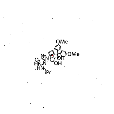 COc1ccc(C(c2ccccc2)(c2ccc(OC)cc2)C(O)[C@H]2O[C@@H](n3cnc4c(=O)[nH]c(NCC(C)C)nc43)C[C@@H]2O)cc1